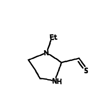 CCN1CCNC1C=S